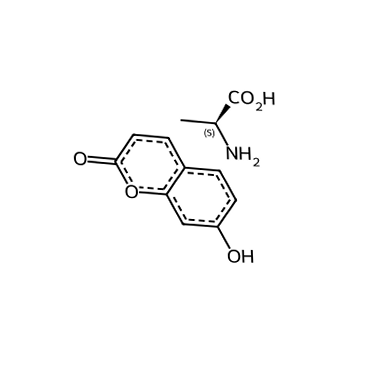 C[C@H](N)C(=O)O.O=c1ccc2ccc(O)cc2o1